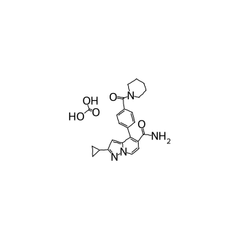 NC(=O)c1ccn2nc(C3CC3)cc2c1-c1ccc(C(=O)N2CCCCC2)cc1.O=C(O)O